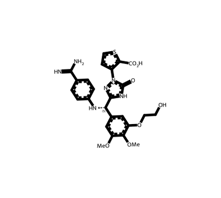 COc1cc([C@H](Nc2ccc(C(=N)N)cc2)c2nn(-c3ccsc3C(=O)O)c(=O)[nH]2)cc(OCCO)c1OC